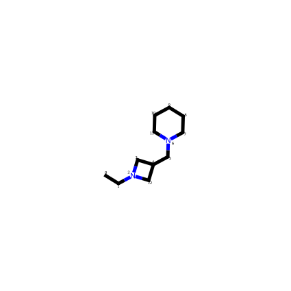 CCN1CC(CN2CCCCC2)C1